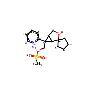 CS(=O)(=O)OCC1(c2ccccn2)C2COC3(CCCC3)C21